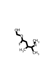 C=NC(C)C(C)CC(F)OCO